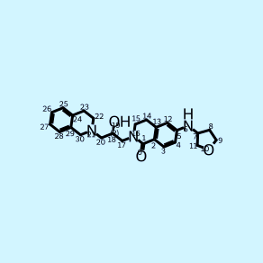 O=C1c2ccc(NC3CCOC3)cc2CCN1C[C@H](O)CN1CCc2ccccc2C1